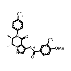 COc1ccc(C(=O)Nc2cnn3c2C(=O)N(c2ccc(C(F)(F)F)cc2)[C@H](C)[C@H]3C)cc1C#N